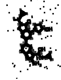 C[C@@H](C1CC1)N1Cc2cc(-c3ccn4nc(N)c(C(O)NC5CC5)c4n3)cc(N3CC[C@H](O)C3)c2C1=O